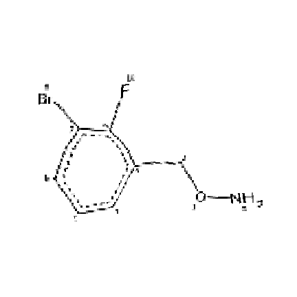 NOCc1cccc(Br)c1F